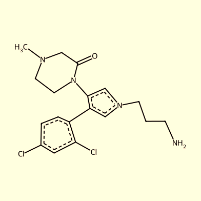 CN1CCN(c2cn(CCCN)cc2-c2ccc(Cl)cc2Cl)C(=O)C1